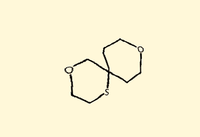 C1CC2(CCO1)COCCS2